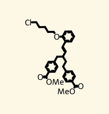 COC(=O)c1ccc(CCC(C=Cc2ccccc2OCCCCCCl)Cc2ccc(C(=O)OC)cc2)cc1